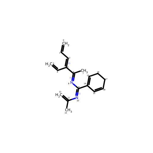 C=C/C=C(C=C)/C(C)=N/C(=N\C(=C)C)C1=CCCC=C1